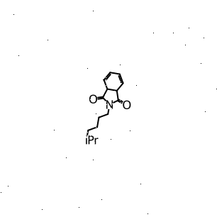 CC(C)CCCCN1C(=O)C2C=CC=CC2C1=O